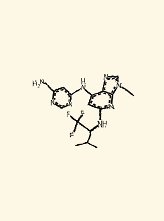 CC(C)C(Nc1cc(Nc2cc(N)ncn2)c2ncn(C)c2n1)C(F)(F)F